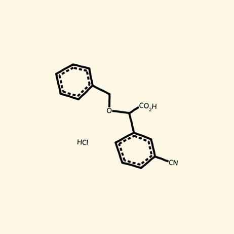 Cl.N#Cc1cccc(C(OCc2ccccc2)C(=O)O)c1